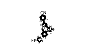 CC[C@H]1CCN(c2ccc3c(c2)Cn2cc(-c4ccc(C#N)cc4)cc2-c2nncn2-3)C1